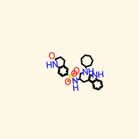 O=C1CCc2cc(S(=O)(=O)NC(Cc3c[nH]c4ccccc34)C(=O)NC3CCCCCC3)ccc2N1